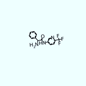 NC(C(=O)Nc1ccc(C(F)(F)F)nc1)c1ccccc1